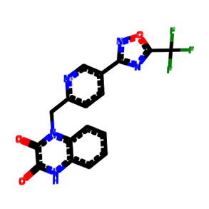 O=c1[nH]c2ccccc2n(Cc2ccc(-c3noc(C(F)(F)F)n3)cn2)c1=O